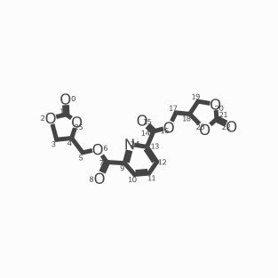 O=C1OCC(COC(=O)c2cccc(C(=O)OCC3COC(=O)O3)n2)O1